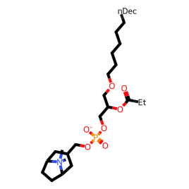 CCCCCCCCCCCCCCCCOCC(COP(=O)([O-])OCC1CC2CCC(C1)[N+]2(C)C)OC(=O)CC